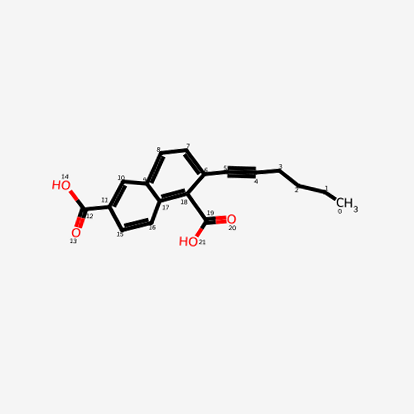 CCCCC#Cc1ccc2cc(C(=O)O)ccc2c1C(=O)O